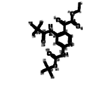 CCOC(=O)C(=O)c1cnc(NC(=O)OC(C)(C)C)cc1NC(=O)C(C)(C)C